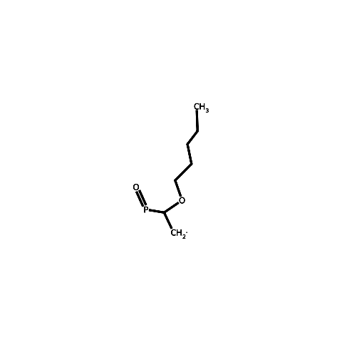 [CH2]C(OCCCCC)P=O